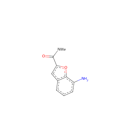 CNC(=O)c1cc2cccc(N)c2o1